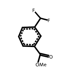 COC(=O)c1cccc(C(F)F)c1